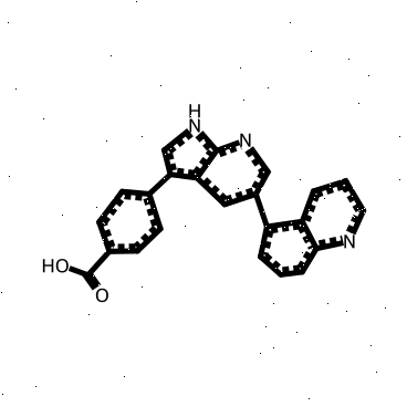 O=C(O)c1ccc(-c2c[nH]c3ncc(-c4cccc5ncccc45)cc23)cc1